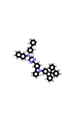 c1ccc(-c2ccc(N(c3cnc(-c4ccc5c(c4)c4ccccc4n5-c4ccc5c(c4)-c4ccccc4C5(c4ccccc4)c4ccccc4)nc3)c3ccc4ccccc4c3)cc2)cc1